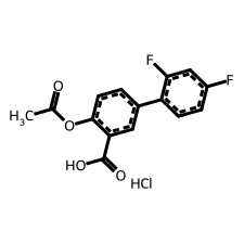 CC(=O)Oc1ccc(-c2ccc(F)cc2F)cc1C(=O)O.Cl